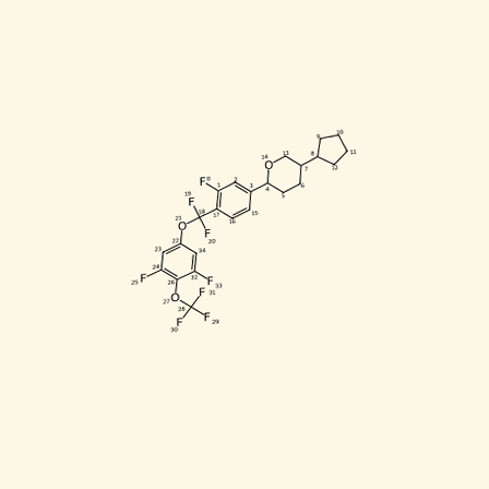 Fc1cc(C2CCC(C3CCCC3)CO2)ccc1C(F)(F)Oc1cc(F)c(OC(F)(F)F)c(F)c1